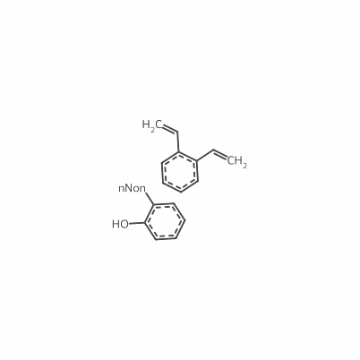 C=Cc1ccccc1C=C.CCCCCCCCCc1ccccc1O